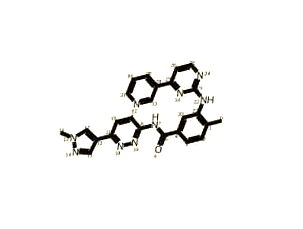 Cc1ccc(C(=O)Nc2ccc(-c3cnn(C)c3)nn2)cc1Nc1nccc(-c2cccnc2)n1